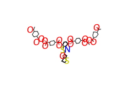 CC(=O)C1CCC(C(=O)OCOC(=O)C2CCC(C(=O)Oc3ccc(OC(=O)C4CCC(C(=O)OC(C)OC(=O)C5CCC(C(C)=O)CC5)CC4)c4nc(-c5cc6sccc6o5)sc34)CC2)CC1